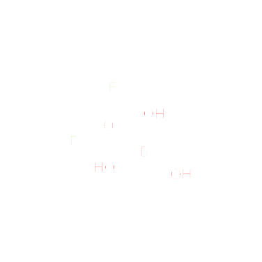 FOF.OB(O)O